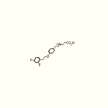 O=C(O)CCNCCc1ccc(OCCc2ccc(F)cc2F)cc1